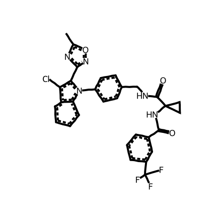 Cc1nc(-c2c(Cl)c3ccccc3n2-c2ccc(CNC(=O)C3(NC(=O)c4cccc(C(F)(F)F)c4)CC3)cc2)no1